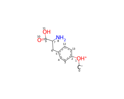 [CH2-][OH+]c1ccc(CC(N)C(=O)O)cc1